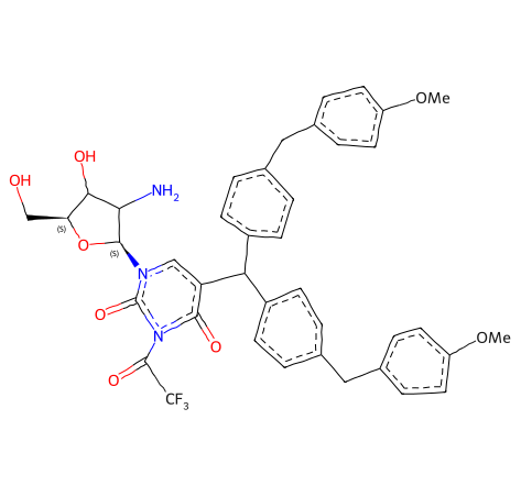 COc1ccc(Cc2ccc(C(c3ccc(Cc4ccc(OC)cc4)cc3)c3cn([C@H]4O[C@@H](CO)C(O)C4N)c(=O)n(C(=O)C(F)(F)F)c3=O)cc2)cc1